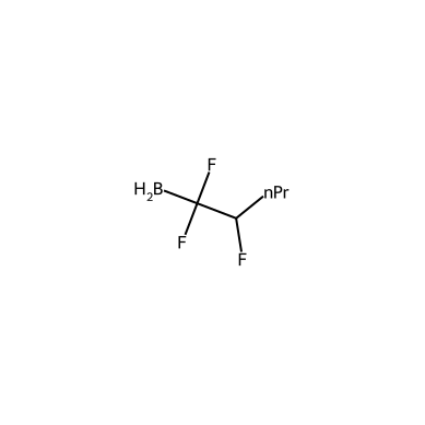 BC(F)(F)C(F)CCC